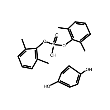 Cc1cccc(C)c1OP(=O)(O)Oc1c(C)cccc1C.Oc1ccc(O)cc1